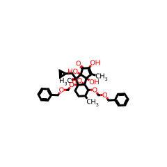 CC1=C(O)C(=O)C2(O)C(C)(CC3C=C3)C3(OCOCc4ccccc4)CCC(C)C(OCOCc4ccccc4)C3(O)C12O